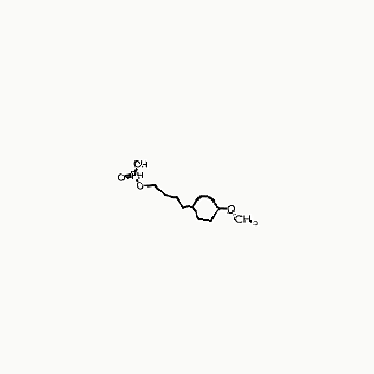 COC1CCC(CCCCO[PH](=O)O)CC1